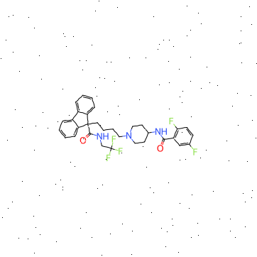 O=C(NC1CCN(CCCCC2(C(=O)NCC(F)(F)F)c3ccccc3-c3ccccc32)CC1)c1cc(F)ccc1F